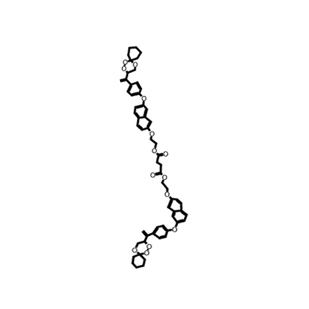 C=C(c1ccc(Oc2ccc3ccc(OCCOC(=O)CCC(=O)OCCOc4ccc5ccc(Oc6ccc(C(=C)C7COC8(CCCCC8)OO7)cc6)cc5c4)cc3c2)cc1)C1COC2(CCCCC2)OO1